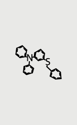 c1ccc(CSc2cccc(N(c3ccccc3)c3ccccc3)c2)cc1